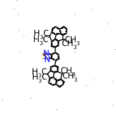 CC1(C)c2cc(-c3ccc(-c4cc5c6c(c4)C(C)(C)c4cccc7ccc(c-6c47)C5(C)C)c4nsnc34)cc3c2-c2c1ccc1cccc(c21)C3(C)C